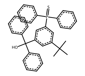 CC(C)(C)c1cc(C(O)(c2ccccc2)c2ccccc2)cc(P(=S)(c2ccccc2)c2ccccc2)c1